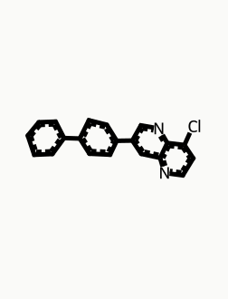 Clc1ccnc2cc(-c3ccc(-c4ccccc4)cc3)cnc12